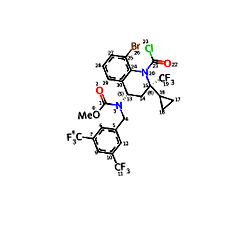 COC(=O)N(Cc1cc(C(F)(F)F)cc(C(F)(F)F)c1)[C@H]1C[C@@](C2CC2)(C(F)(F)F)N(C(=O)Cl)c2c(Br)cccc21